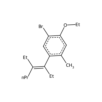 CCC/C(CC)=C(\CC)c1cc(Br)c(OCC)cc1C